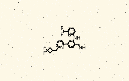 N=Cc1ccc(-c2cccc(CC3CC(F)(F)C3)n2)cc1Nc1cccc(C(F)F)n1